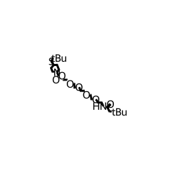 CC(C)(C)CC(=O)NCCOCCOCCOCCOCCOC(=O)N1CCC(SC(C)(C)C)CC1